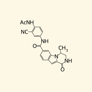 CC(=O)Nc1ccc(NC(=O)c2ccc3cc4n(c3c2)C(C)CNC4=O)cc1C#N